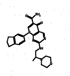 CC(CNc1ncc2c(=O)c(C(N)=O)cn(-c3ccc4c(c3)CCC4)c2n1)N1CCOCC1